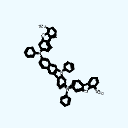 CC(C)(C)c1cccc2c1oc1cc(N(c3ccccc3)c3ccc4cc5c6ccc(N(c7ccccc7)c7ccc8c(c7)oc7c(C(C)(C)C)cccc78)cc6n(-c6ccccc6)c5cc4c3)ccc12